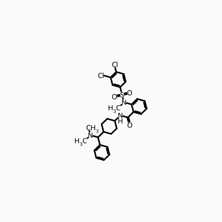 CN(C)C(c1ccccc1)C1CCC(NC(=O)c2ccccc2N(C)S(=O)(=O)c2ccc(Cl)c(Cl)c2)CC1